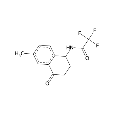 Cc1ccc2c(c1)C(=O)CCC2NC(=O)C(F)(F)F